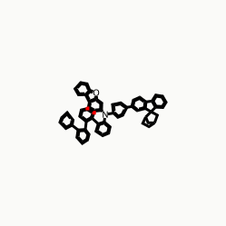 c1ccc(-c2ccccc2-c2ccccc2-c2ccccc2N(c2ccc(-c3ccc4c(c3)C3(CC5CCC3C5)c3ccccc3-4)cc2)c2ccc3c(c2)oc2ccccc23)cc1